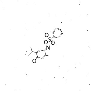 CC1=CC(=O)C(C(C)C)=CC1=NOS(=O)(=O)c1ccccc1